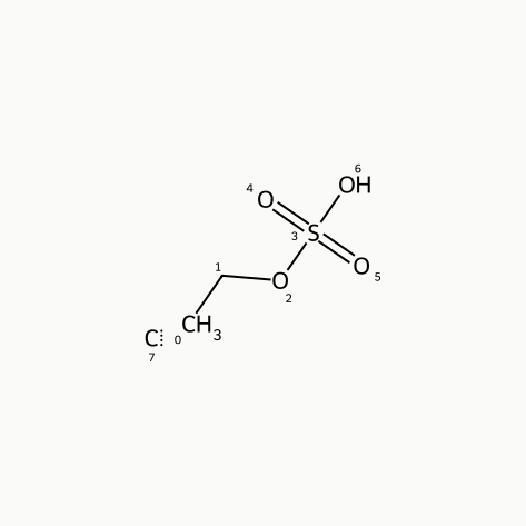 CCOS(=O)(=O)O.[C]